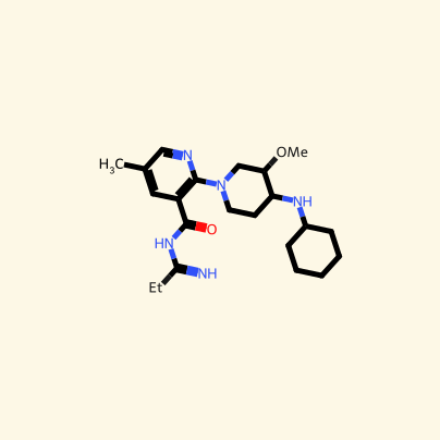 CCC(=N)NC(=O)c1cc(C)cnc1N1CCC(NC2CCCCC2)C(OC)C1